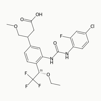 CCO[C@@H](c1ccc(C(COC)CC(=O)O)cc1NC(=O)Nc1ccc(Cl)cc1F)C(F)(F)F